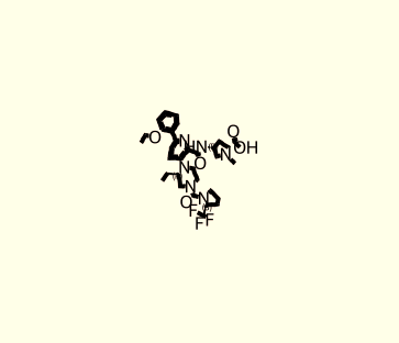 CCOc1ccccc1-c1ccc(N2CCN(C(=O)N3CCC[C@H]3C(F)(F)F)C[C@H]2CC)c(C(=O)N[C@@H]2CCN(C)C2)n1.O=CO